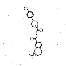 CC(C)N1CCCc2ccc(C(=O)CCC(=O)N3CCC(c4ccc(Cl)cc4)CC3)cc2C1